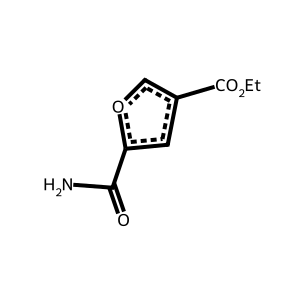 CCOC(=O)c1coc(C(N)=O)c1